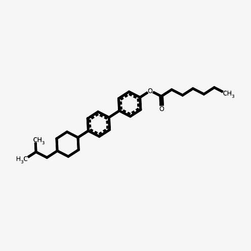 CCCCCCC(=O)Oc1ccc(-c2ccc(C3CCC(CC(C)C)CC3)cc2)cc1